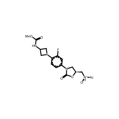 COC(=O)NC1CN(c2ccc(N3C[C@@H](C[NH+]([O-])C(C)=O)OC3=O)cc2F)C1